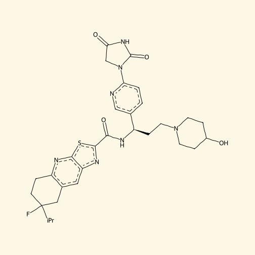 CC(C)C1(F)CCc2nc3sc(C(=O)N[C@H](CCN4CCC(O)CC4)c4ccc(N5CC(=O)NC5=O)nc4)nc3cc2C1